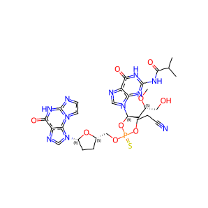 CO[C@H](CO)C[C@@H](OP(=S)(OCCC#N)OC[C@@H]1CC[C@H](n2cnc3c(=O)[nH]c4nccn4c32)O1)n1cnc2c(=O)[nH]c(NC(=O)C(C)C)nc21